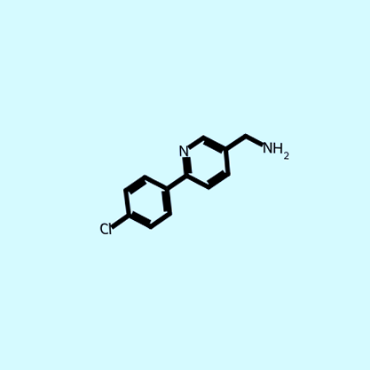 NCc1ccc(-c2ccc(Cl)cc2)nc1